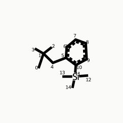 CC(C)(C)Cc1[c]cccc1[Si](C)(C)C